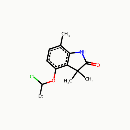 CCC(Cl)Oc1ccc(C)c2c1C(C)(C)C(=O)N2